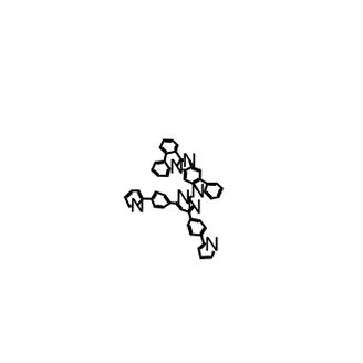 c1ccc(-c2ccc(-c3cc(-c4ccc(-c5ccccn5)cc4)nc(-n4c5ccccc5c5cc6nc7c8ccccc8c8ccccc8n7c6cc54)n3)cc2)nc1